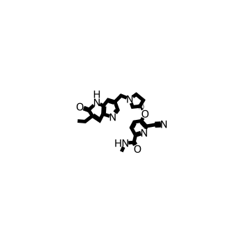 CCc1cc2ncc(CN3CC[C@@H](Oc4ccc(C(=O)NC)nc4C#N)C3)cc2[nH]c1=O